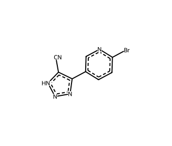 N#Cc1[nH]nnc1-c1ccc(Br)nc1